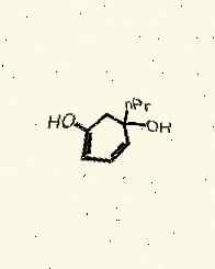 CCCC1(O)C=CC=C(O)C1